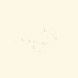 c1ccc(N2c3ccccc3B3c4c2cccc4N(c2ccccc2)c2ccc4c5cccc6c7c8c(ccc7n(c4c23)c56)B2c3ccccc3N(c3ccccc3)c3cccc(c32)N8c2ccccc2)cc1